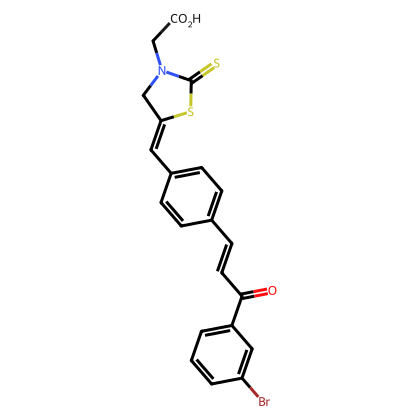 O=C(O)CN1CC(=Cc2ccc(/C=C/C(=O)c3cccc(Br)c3)cc2)SC1=S